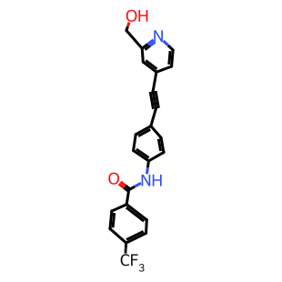 O=C(Nc1ccc(C#Cc2ccnc(CO)c2)cc1)c1ccc(C(F)(F)F)cc1